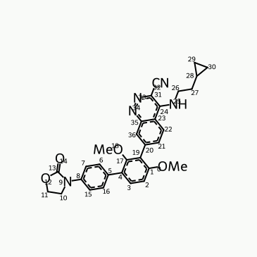 COc1ccc(-c2ccc(N3CCOC3=O)cc2)c(OC)c1-c1ccc2c(NCCC3CC3)c(C#N)nnc2c1